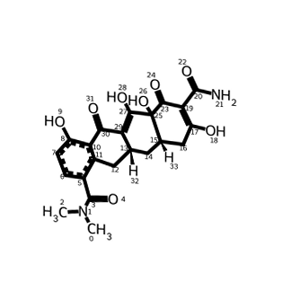 CN(C)C(=O)c1ccc(O)c2c1C[C@H]1C[C@H]3CC(O)=C(C(N)=O)C(=O)C3(O)C(O)=C1C2=O